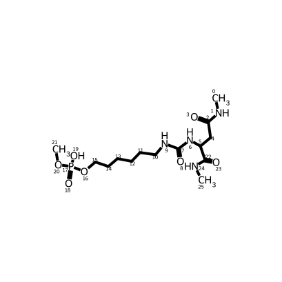 CNC(=O)CC(NC(=O)NCCCCCCOP(=O)(O)OC)C(=O)NC